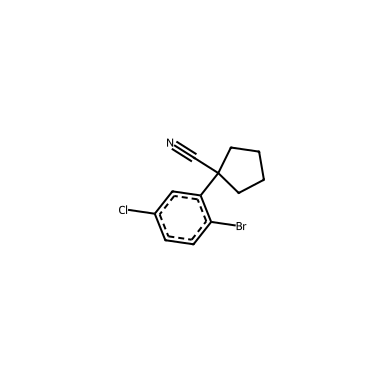 N#CC1(c2cc(Cl)ccc2Br)CCCC1